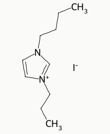 CCCCn1cc[n+](CCC)c1.[I-]